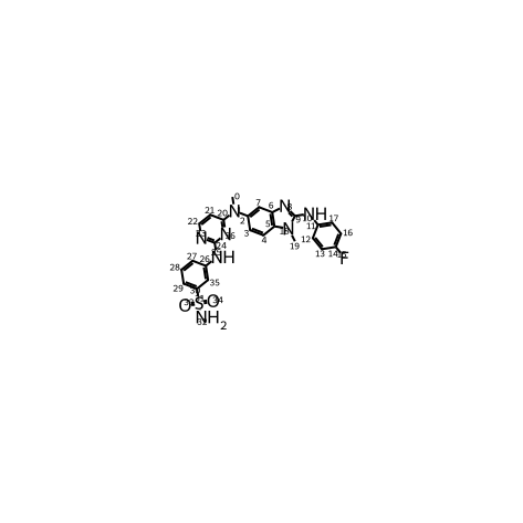 CN(c1ccc2c(c1)nc(Nc1ccc(F)cc1)n2C)c1ccnc(Nc2cccc(S(N)(=O)=O)c2)n1